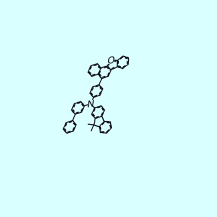 CC1(C)c2ccccc2-c2ccc(N(c3ccc(-c4cc5c6ccccc6oc5c5ccccc45)cc3)c3cccc(-c4ccccc4)c3)cc21